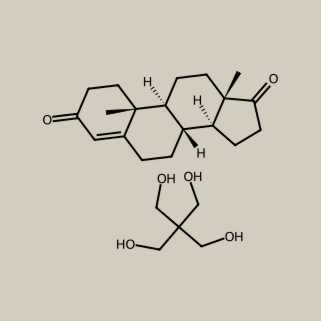 C[C@]12CCC(=O)C=C1CC[C@@H]1[C@@H]2CC[C@]2(C)C(=O)CC[C@@H]12.OCC(CO)(CO)CO